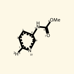 [2H]c1ccc(NC(=O)OC)cn1